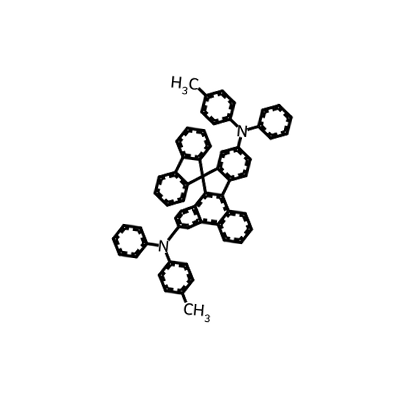 Cc1ccc(N(c2ccccc2)c2ccc3c(c2)C2(c4ccccc4-c4ccccc42)c2c-3c3ccccc3c3cc(N(c4ccccc4)c4ccc(C)cc4)ccc23)cc1